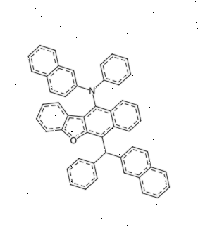 c1ccc(C(c2ccc3ccccc3c2)c2c3ccccc3c(N(c3ccccc3)c3ccc4ccccc4c3)c3c2oc2ccccc23)cc1